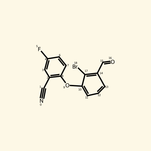 N#Cc1cc(F)ccc1Oc1cccc(C=O)c1Br